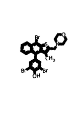 Cc1c(CN2CCOCC2)sc2c(Br)c3ccccc3c(-c3cc(Br)c(O)c(Br)c3)c12